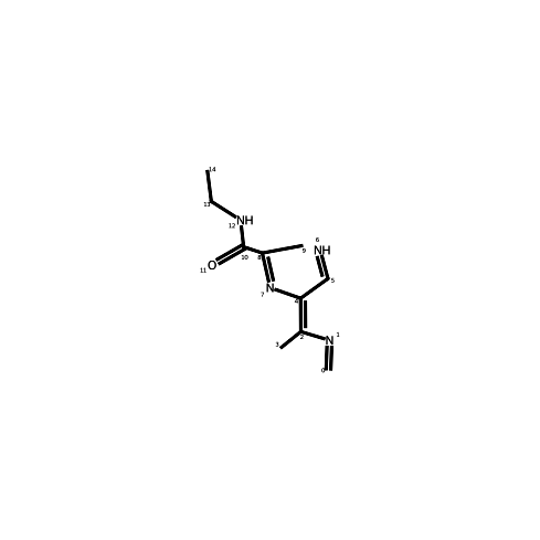 C=N/C(C)=C(C=N)/N=C(\C)C(=O)NCC